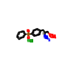 Cl.N[C@H](CO)Cc1ccc(S(=O)(=O)c2ccccc2)cc1